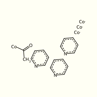 C[C](=O)[Co].[Co].[Co].[Co].c1ccncc1.c1ccncc1.c1ccncc1